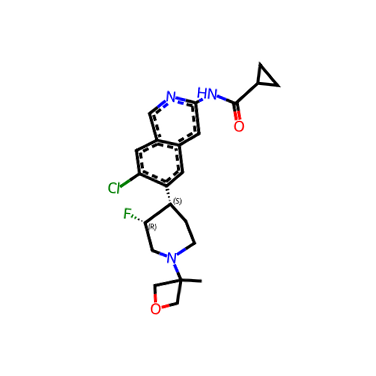 CC1(N2CC[C@@H](c3cc4cc(NC(=O)C5CC5)ncc4cc3Cl)[C@@H](F)C2)COC1